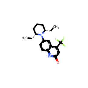 CC[C@@H]1CCC[C@H](CC)N1c1ccc2[nH]c(=O)cc(C(F)(F)F)c2c1